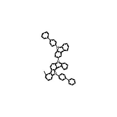 Cc1cccc2c1c1ccc3c(c4ccccc4n3-c3ccc4c(c3)c3ccccc3n4-c3ccc(-c4ccccc4)cc3)c1n2-c1ccc(-c2ccccc2)cc1